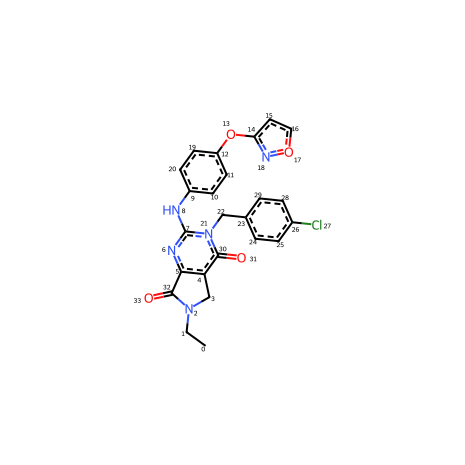 CCN1Cc2c(nc(Nc3ccc(Oc4ccon4)cc3)n(Cc3ccc(Cl)cc3)c2=O)C1=O